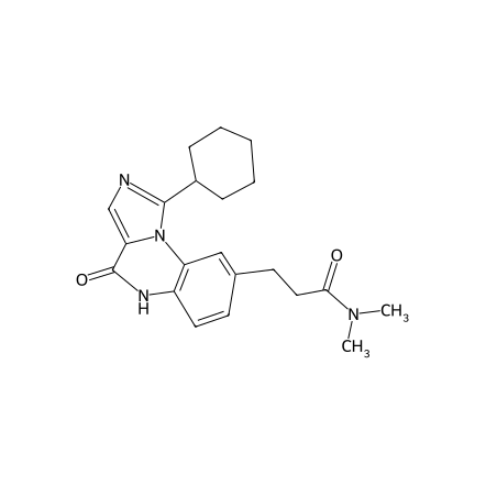 CN(C)C(=O)CCc1ccc2[nH]c(=O)c3cnc(C4CCCCC4)n3c2c1